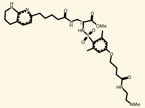 CNCCNC(=O)CCCOc1cc(C)c(S(=O)(=O)N[C@@H](CNC(=O)CCCCc2ccc3c(n2)NCCC3)C(=O)OC)c(C)c1